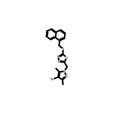 Cc1nn(Cc2nnc(SCc3cccc4ccccc34)o2)c(C)c1Br